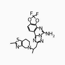 Cc1nc2c(s1)CCN(C(C)Cc1nc3c4ccc5c(c4nc(N)n3n1)OC(F)(F)O5)C2